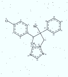 CC(c1ccc(Cl)cc1)C(C#N)(Cn1cncn1)c1ccccc1